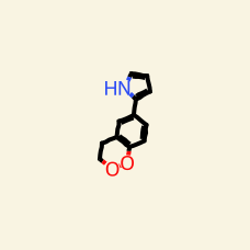 c1c[nH]c(-c2ccc3c(c2)CCOO3)c1